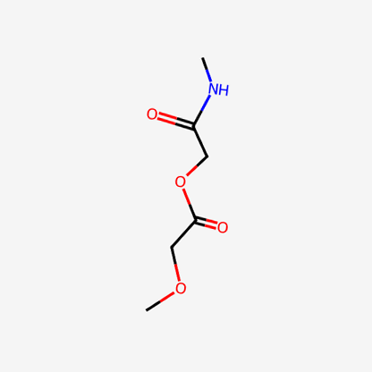 CNC(=O)COC(=O)COC